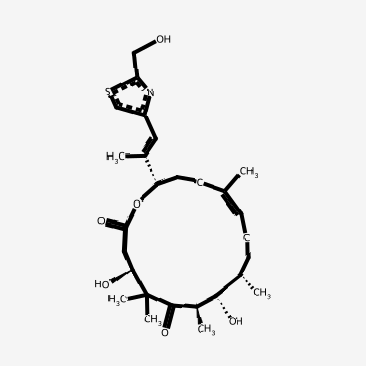 C/C1=C/CC[C@H](C)[C@H](O)[C@@H](C)C(=O)C(C)(C)[C@@H](O)CC(=O)O[C@H](/C(C)=C/c2csc(CO)n2)CC1